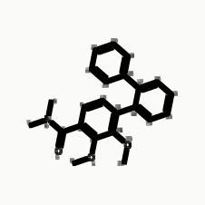 COc1c(C(=O)N(C)C)ccc(-c2ccccc2-c2ccccc2)c1OC